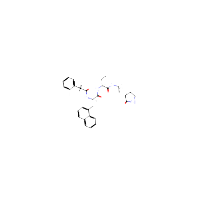 CC(C)C[C@H](NC(=O)[C@H](Cc1cccc2ccccc12)NC(=O)C(C)(C)c1ccccc1)C(=O)N[C@H](C=O)C[C@@H]1CCNC1=O